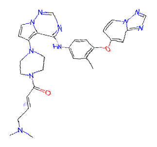 Cc1cc(Nc2ncnn3ccc(N4CCN(C(=O)/C=C/CN(C)C)CC4)c23)ccc1Oc1ccn2ncnc2c1